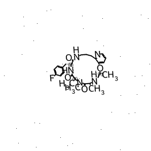 CC1NC[C@@H](C)Oc2cccnc2CCCNC(=O)[C@@H](Cc2ccc(F)cc2)NC(=O)[C@@H](C)N(C)C1=O